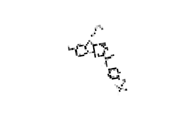 CCC[C@@H]1C2=C(NC(C(=O)Nc3ccc(OC(F)(F)F)cc3)=NN2)c2ccc(Cl)cc21